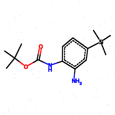 CC(C)(C)OC(=O)Nc1ccc([Si](C)(C)C)cc1N